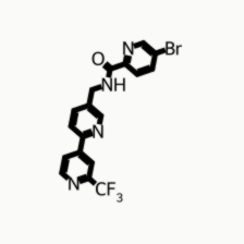 O=C(NCc1ccc(-c2ccnc(C(F)(F)F)c2)nc1)c1ccc(Br)cn1